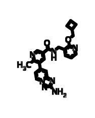 Cc1ncc(C(=O)NCc2cccnc2OCC2CCC2)cc1-c1ccn2nc(N)nc2c1